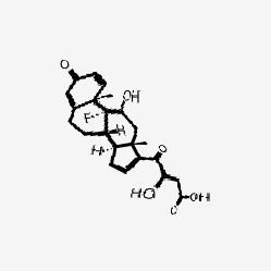 C[C@]12C=CC(=O)C=C1CC[C@H]1[C@@H]3CC=C(C(=O)C(O)CC(=O)O)[C@@]3(C)C[C@H](O)[C@@]12F